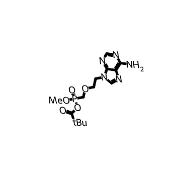 COP(=O)(COCCn1cnc2c(N)ncnc21)OC(=O)C(C)(C)C